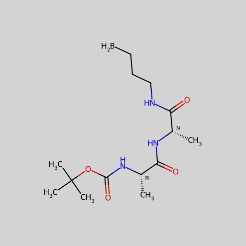 BCCCNC(=O)[C@H](C)NC(=O)[C@H](C)NC(=O)OC(C)(C)C